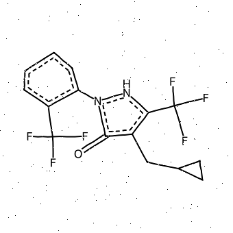 O=c1c(CC2CC2)c(C(F)(F)F)[nH]n1-c1ccccc1C(F)(F)F